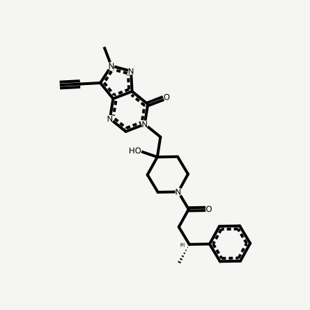 C#Cc1c2ncn(CC3(O)CCN(C(=O)C[C@@H](C)c4ccccc4)CC3)c(=O)c2nn1C